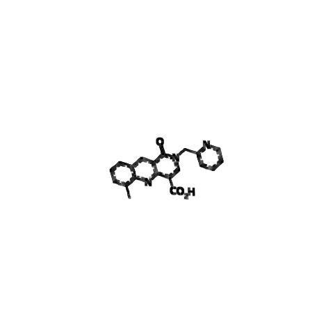 Cc1cccc2cc3c(=O)n(Cc4ccccn4)cc(C(=O)O)c3nc12